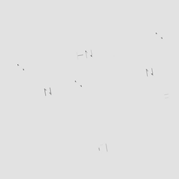 CN(C)c1cc(Nc2cc(-c3cc(Cl)ccc3F)nc3ncccc23)ncn1